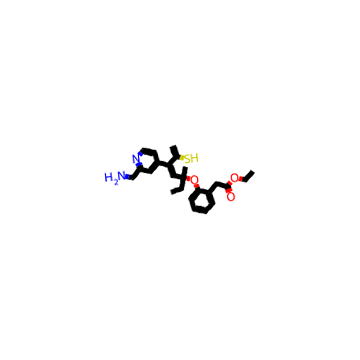 C=C(S)/C(=C\C(C)(CC)Oc1ccccc1CC(=O)OCC)c1ccnc(CN)c1